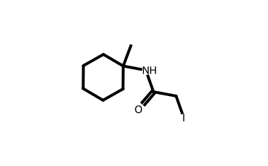 CC1(NC(=O)CI)CCCCC1